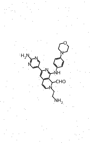 NCCN1C=Cc2cc(-c3cnc(N)nc3)nc(Nc3ccc(N4CCOCC4)cc3)c2C1C=O